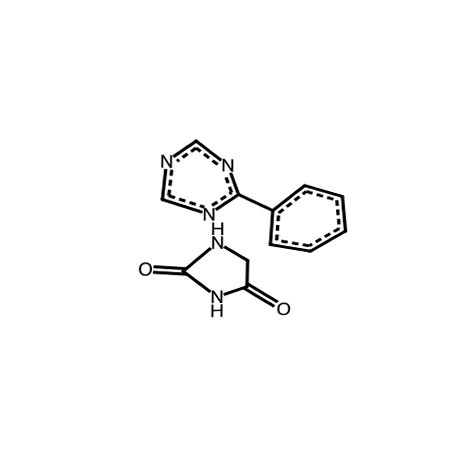 O=C1CNC(=O)N1.c1ccc(-c2ncncn2)cc1